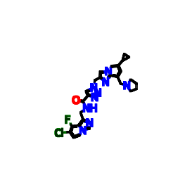 O=C(NCc1ncn2ccc(Cl)c(F)c12)c1cn(Cc2cn3cc(C4CC4)cc(CN4CCCC4)c3n2)nn1